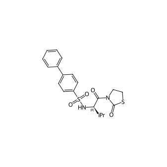 CC(C)[C@@H](NS(=O)(=O)c1ccc(-c2ccccc2)cc1)C(=O)N1CCSC1=O